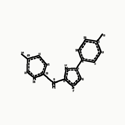 Cc1ccc(-c2csc(Nc3ccc(C)cn3)n2)cc1